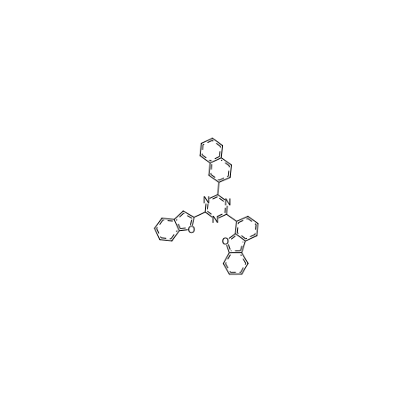 c1ccc2cc(-c3nc(-c4cc5ccccc5o4)nc(-c4cccc5c4oc4ccccc45)n3)ccc2c1